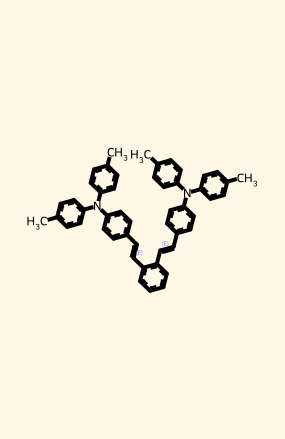 Cc1ccc(N(c2ccc(C)cc2)c2ccc(/C=C/c3ccccc3/C=C/c3ccc(N(c4ccc(C)cc4)c4ccc(C)cc4)cc3)cc2)cc1